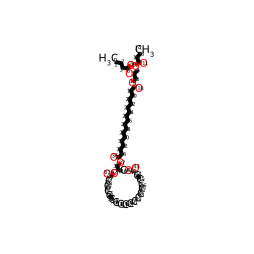 CCCCC(=O)OC(COC(=O)CCC)COC(=O)CCCCCCCCCCCCCCCCC(=O)OCC1COC(=O)CCCCCCCCCCCCCCCCC(=O)O1